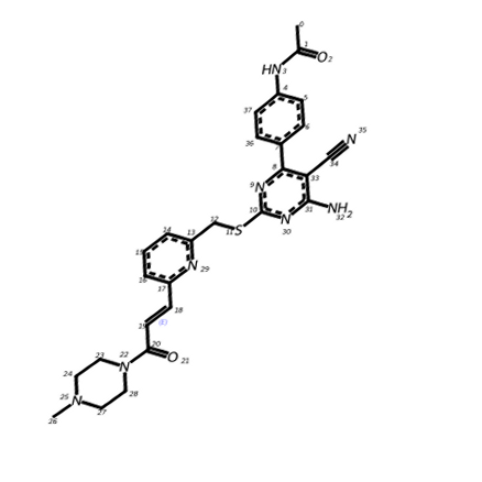 CC(=O)Nc1ccc(-c2nc(SCc3cccc(/C=C/C(=O)N4CCN(C)CC4)n3)nc(N)c2C#N)cc1